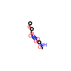 C=CC(=O)Nc1ccc(S(=O)(=O)N2CCN(C(=O)OCc3cccc(Oc4ccccc4)c3)CC2)cc1